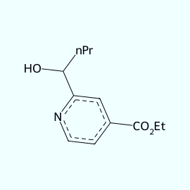 CCCC(O)c1cc(C(=O)OCC)ccn1